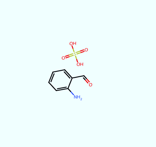 Nc1ccccc1C=O.O=S(=O)(O)O